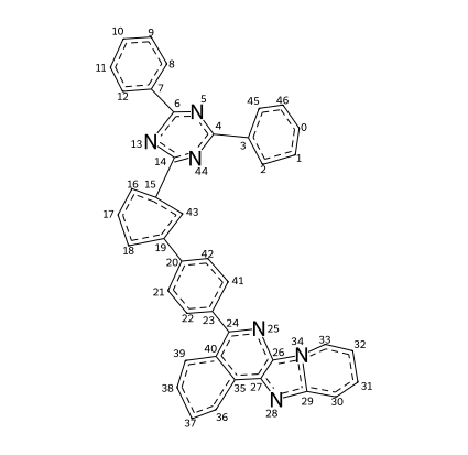 c1ccc(-c2nc(-c3ccccc3)nc(-c3cccc(-c4ccc(-c5nc6c(nc7ccccn76)c6ccccc56)cc4)c3)n2)cc1